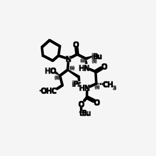 CC[C@H](C)[C@H](NC(=O)[C@H](C)NC(=O)OC(C)(C)C)C(=O)N(C1CCCCC1)[C@@H](CC(C)C)[C@@H](O)C[C]=O